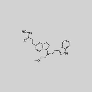 COCCN(CCc1c[nH]c2ccccc12)C1CCc2cc(C=CC(=O)NO)ccc21